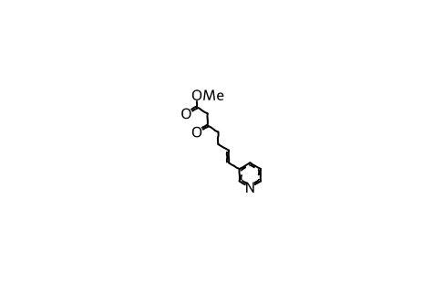 COC(=O)CC(=O)CCC=Cc1cccnc1